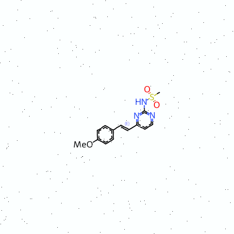 COc1ccc(/C=C/c2ccnc(NS(C)(=O)=O)n2)cc1